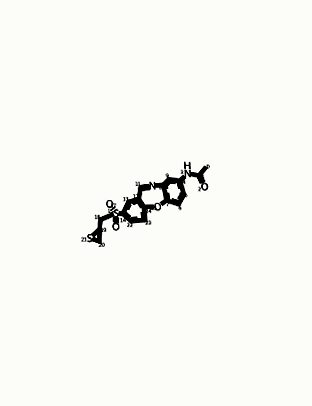 CC(=O)Nc1ccc2c(c1)N=Cc1cc(S(=O)(=O)CC3CS3)ccc1O2